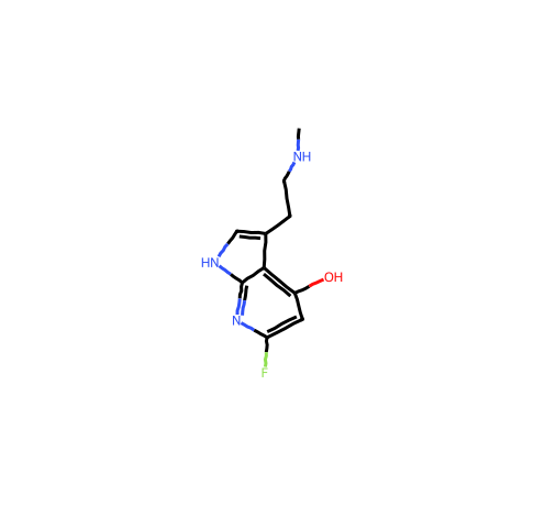 CNCCc1c[nH]c2nc(F)cc(O)c12